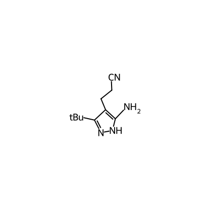 CC(C)(C)c1n[nH]c(N)c1CCC#N